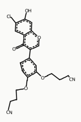 N#CCCCOc1ccc(-c2coc3cc(O)c(Cl)cc3c2=O)cc1OCCCC#N